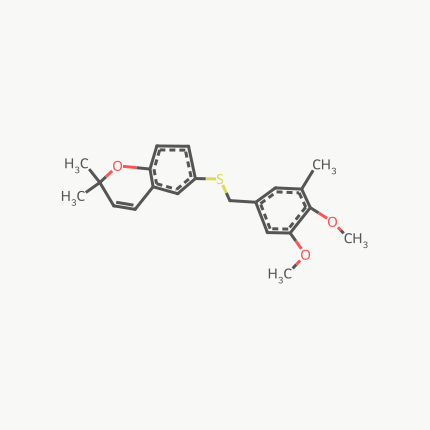 COc1cc(CSc2ccc3c(c2)C=CC(C)(C)O3)cc(C)c1OC